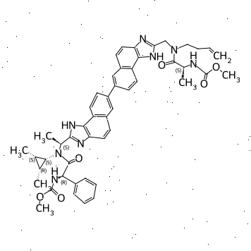 C=CCCN(Cc1nc2ccc3cc(-c4ccc5c(ccc6nc([C@H](C)N(C(=O)[C@H](NC(=O)OC)c7ccccc7)[C@@H]7[C@H](C)[C@@H]7C)[nH]c65)c4)ccc3c2[nH]1)C(=O)[C@H](C)NC(=O)OC